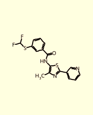 Cc1nc(-c2cccnc2)sc1NC(=O)c1cccc(SC(F)F)c1